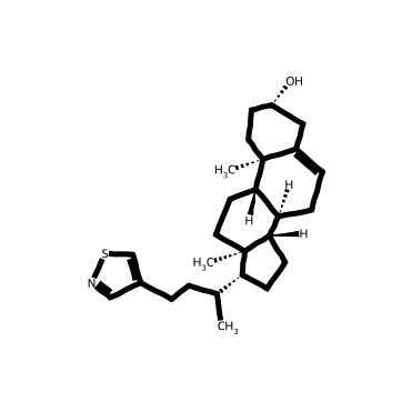 CC(CCc1cnsc1)[C@H]1CC[C@H]2[C@@H]3CC=C4C[C@@H](O)CC[C@]4(C)[C@H]3CC[C@]12C